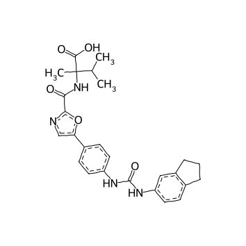 CC(C)C(C)(NC(=O)c1ncc(-c2ccc(NC(=O)Nc3ccc4c(c3)CCC4)cc2)o1)C(=O)O